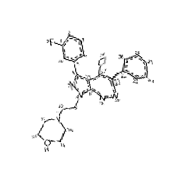 Fc1cccc(-c2nn(CCN3CCOCC3)c3nnc(-c4ccccc4)c(Cl)c23)c1